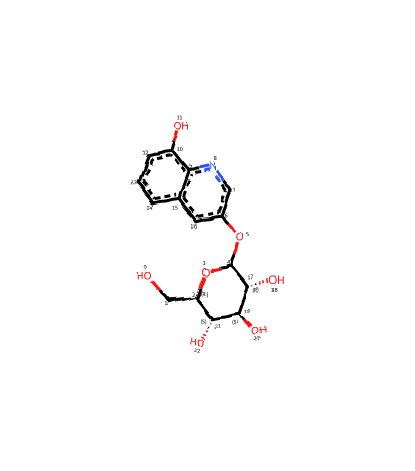 OC[C@H]1OC(Oc2cnc3c(O)cccc3c2)[C@H](O)[C@@H](O)[C@@H]1O